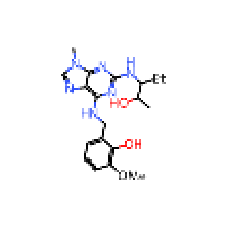 CCC(Nc1nc(NCc2cccc(OC)c2O)c2ncn(C)c2n1)C(C)O